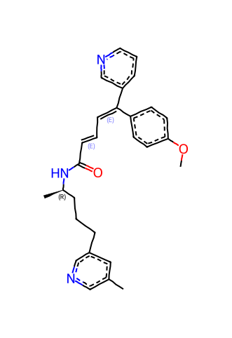 COc1ccc(/C(=C\C=C\C(=O)N[C@H](C)CCCc2cncc(C)c2)c2cccnc2)cc1